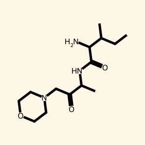 CCC(C)C(N)C(=O)NC(C)C(=O)CN1CCOCC1